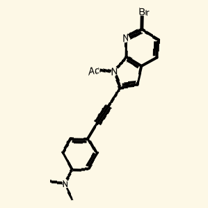 CC(=O)n1c(C#CC2=CCC(N(C)C)C=C2)cc2ccc(Br)nc21